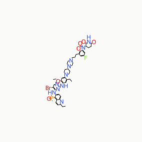 CCOc1cc(N2CCC(N3CCN(CCCc4cc(F)cc5c4oc(=O)n5C4CCC(=O)NC4=O)CC3)CC2)c(CC)cc1Nc1ncc(Br)c(Nc2ccc3nc(CC)ccc3c2P(C)(C)=O)n1